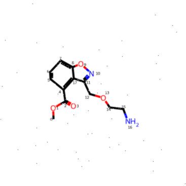 COC(=O)c1cccc2onc(COCCN)c12